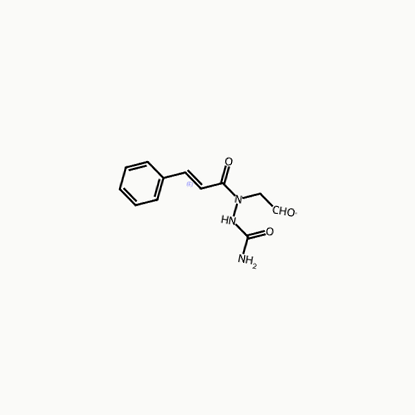 NC(=O)NN(C[C]=O)C(=O)/C=C/c1ccccc1